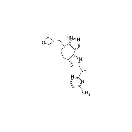 Cc1ccnc(Nc2nc3c(s2)CCN(CC2COC2)c2[nH]ncc2-3)n1